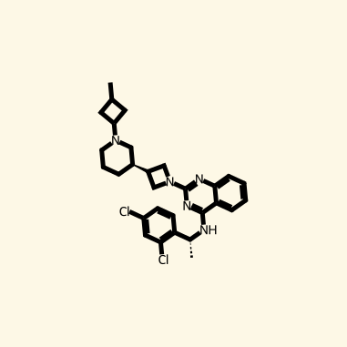 CC1CC(N2CCC[C@H](C3CN(c4nc(N[C@H](C)c5ccc(Cl)cc5Cl)c5ccccc5n4)C3)C2)C1